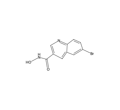 O=C(NO)c1cnc2ccc(Br)cc2c1